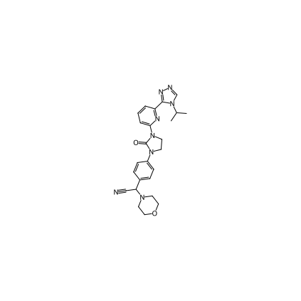 CC(C)n1cnnc1-c1cccc(N2CCN(c3ccc(C(C#N)N4CCOCC4)cc3)C2=O)n1